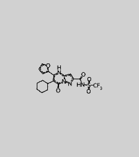 O=C(NS(=O)(=O)C(F)(F)F)c1cc2[nH]c(-c3ccco3)c(C3CCCCC3)c(=O)n2n1